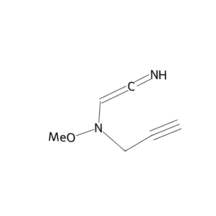 C#CCN(C=C=N)OC